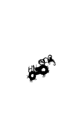 C1CO1.COc1cccc2c1[nH]c1ccccc12